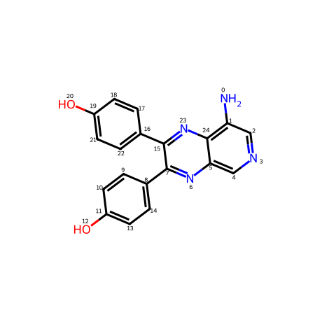 Nc1cncc2nc(-c3ccc(O)cc3)c(-c3ccc(O)cc3)nc12